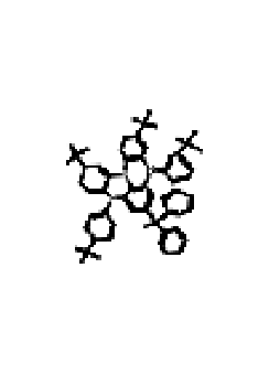 CC(C)(C)C1=CC2=C(CC1)B1C3=CC(C(C)(C)C)CCC3N(C3=CCC(C(C)(C)C)C=C3)c3cc(C(C)(C4=CCCC=C4)c4ccccc4)cc(c31)N2c1cccc(C(C)(C)C)c1